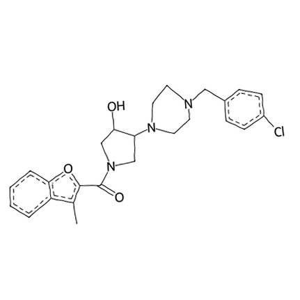 Cc1c(C(=O)N2CC(O)C(N3CCN(Cc4ccc(Cl)cc4)CC3)C2)oc2ccccc12